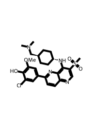 COc1cc(-c2ccc3ncc(S(C)(=O)=O)c(N[C@H]4CC[C@H](CN(C)C)CC4)c3n2)cc(Cl)c1O